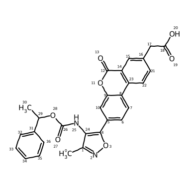 Cc1noc(-c2ccc3c(c2)oc(=O)c2cc(CC(=O)O)ccc23)c1NC(=O)OC(C)c1ccccc1